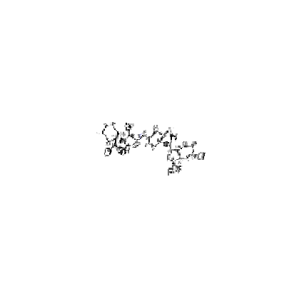 O=C1S/C(=C\c2ccc3c(cnn3Cc3ccc(Cl)cc3C(F)(F)F)c2)C(=O)N1C1(C(=O)O)CCCCC1